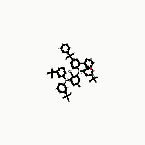 Cc1cc(N(c2cccc(C(C)(C)C)c2)c2cccc(C(C)(C)C)c2)c(Cl)c(N(c2cccc(C(C)(C)C)c2)c2ccc(C(C)(C)c3ccccc3)cc2-c2ccccc2)c1